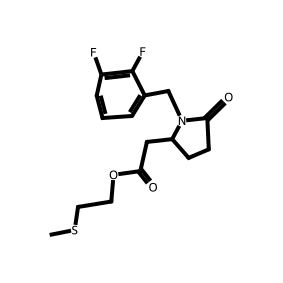 CSCCOC(=O)CC1CCC(=O)N1Cc1cccc(F)c1F